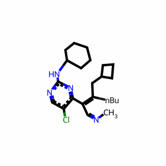 CCCC/C(CC1CCC1)=C(\C=N/C)c1nc(NC2CCCCC2)ncc1Cl